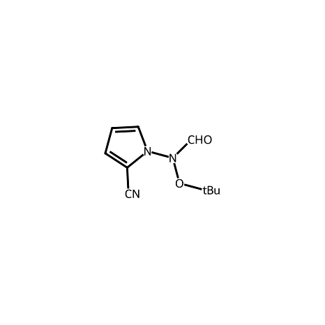 CC(C)(C)ON(C=O)n1cccc1C#N